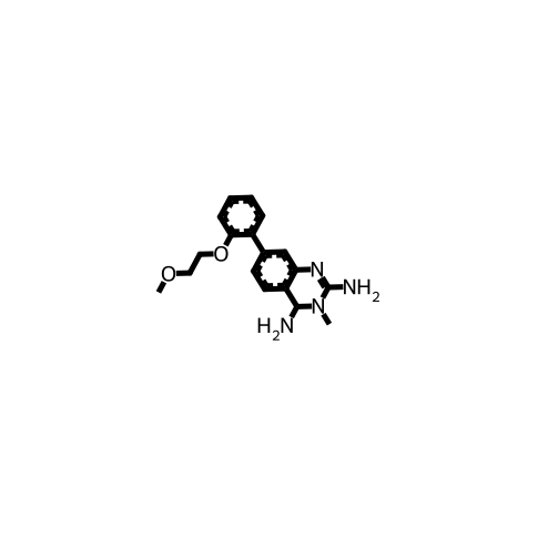 COCCOc1ccccc1-c1ccc2c(c1)N=C(N)N(C)C2N